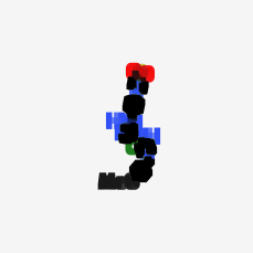 COc1ccc(CN2CCC(Nc3c(Cl)cnc4[nH]c(-c5ccc(N6CCN(S(C)(=O)=O)CC6)cc5)nc34)CC2)cc1